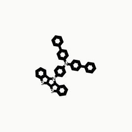 c1ccc(-c2ccc(N(c3ccc(-c4ccccc4)cc3)c3ccc(N4C5c6ccccc6SC5C5Sc6ccccc6C54)cc3)cc2)cc1